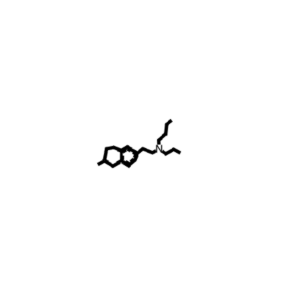 CCCCN(CCC)CCc1ccc2c(c1)CCC(C)C2